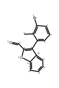 Cc1c(Br)cccc1-c1c(C=O)oc2ccccc12